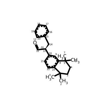 CC1(C)CCC(C)(C)c2cc([C@@H](C=O)Cc3ccccc3)ccc21